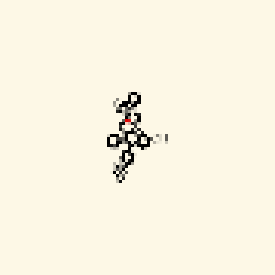 CS(=O)(=O)Oc1ccc(C(c2ccc(O)cc2)c2c(C(=O)N3CCN(c4ccccc4Cl)CC3)n(CCN3CCCC3)c3ccccc23)cc1